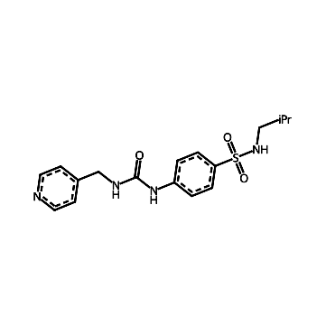 CC(C)CNS(=O)(=O)c1ccc(NC(=O)NCc2ccncc2)cc1